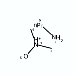 CCCN.C[NH+](C)[O-]